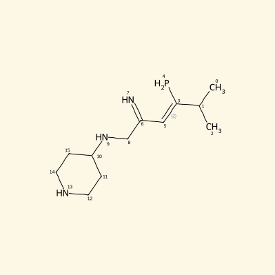 CC(C)/C(P)=C/C(=N)CNC1CCNCC1